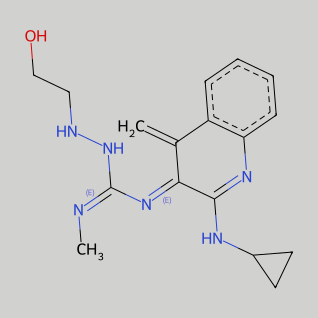 C=C1/C(=N\C(=N/C)NNCCO)C(NC2CC2)=Nc2ccccc21